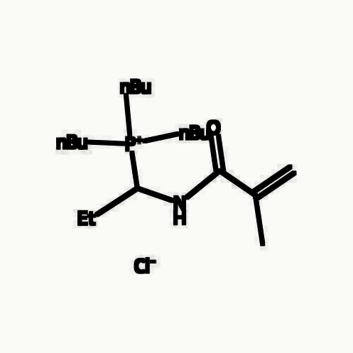 C=C(C)C(=O)NC(CC)[P+](CCCC)(CCCC)CCCC.[Cl-]